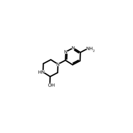 Nc1ccc(N2CCNC(O)C2)nn1